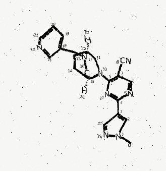 Cn1cc(-c2ncc(C#N)c(N3C[C@@H]4CC[C@H]3CN4c3cccnc3)n2)cn1